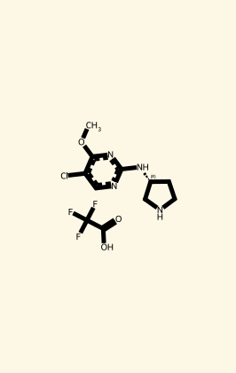 COc1nc(N[C@@H]2CCNC2)ncc1Cl.O=C(O)C(F)(F)F